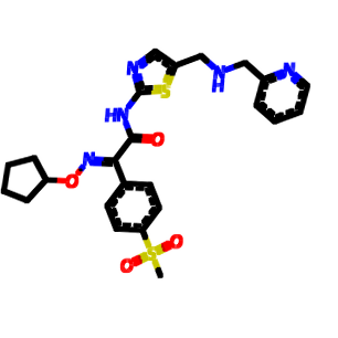 CS(=O)(=O)c1ccc(/C(=N\OC2CCCC2)C(=O)Nc2ncc(CNCc3ccccn3)s2)cc1